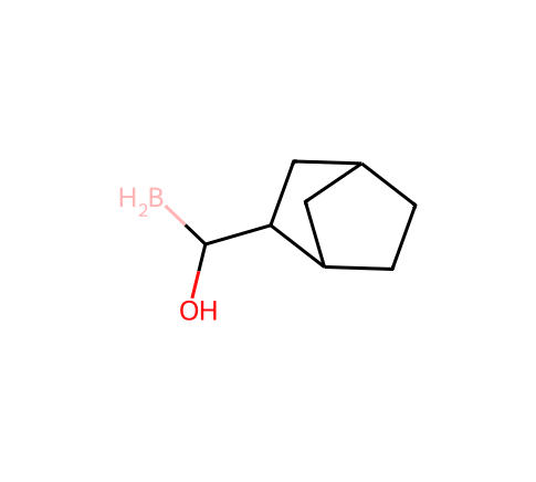 BC(O)C1CC2CCC1C2